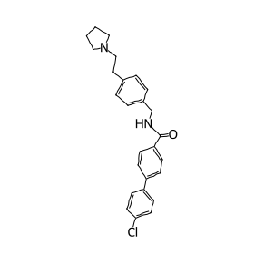 O=C(NCc1ccc(CCN2CCCC2)cc1)c1ccc(-c2ccc(Cl)cc2)cc1